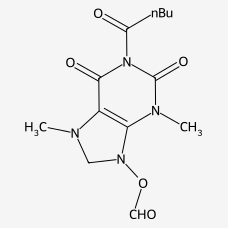 CCCCC(=O)n1c(=O)c2c(n(C)c1=O)N(OC=O)CN2C